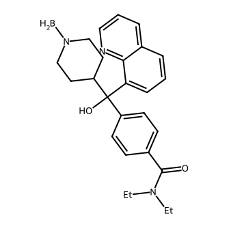 BN1CCC(C(O)(c2ccc(C(=O)N(CC)CC)cc2)c2cccc3cccnc23)CC1